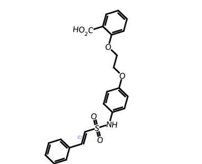 O=C(O)c1ccccc1OCCOc1ccc(NS(=O)(=O)/C=C/c2ccccc2)cc1